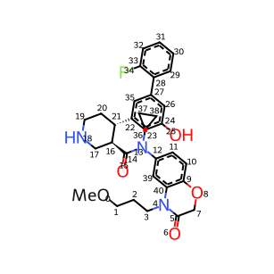 COCCCN1C(=O)COc2ccc(N(C(=O)[C@H]3CNCC[C@@H]3c3cc(O)cc(-c4ccccc4F)c3)C3CC3)cc21